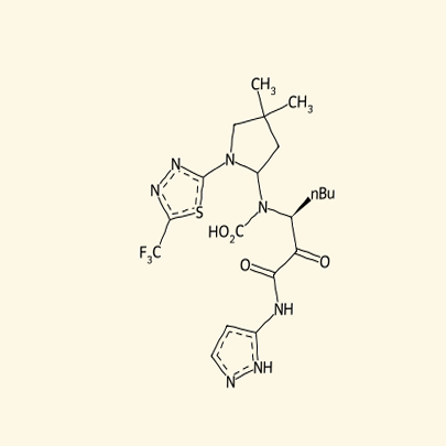 CCCC[C@@H](C(=O)C(=O)Nc1ccn[nH]1)N(C(=O)O)C1CC(C)(C)CN1c1nnc(C(F)(F)F)s1